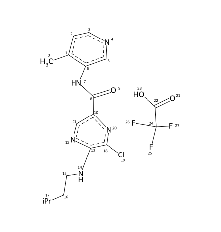 Cc1ccncc1NC(=O)c1cnc(NCCC(C)C)c(Cl)n1.O=C(O)C(F)(F)F